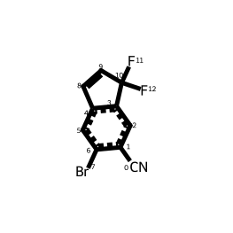 N#Cc1cc2c(cc1Br)C=CC2(F)F